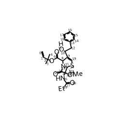 C=CC(C)(C)OC(=O)C1C(C(O)Cc2ccccc2)=CS[C@@H]2N1C(=O)C2(NC(=O)CC)OC